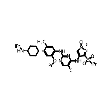 Cc1cc(Nc2ncc(Cl)c(Nc3cn(C)nc3S(=O)(=O)C(C)C)n2)c(OC(C)C)cc1[C@H]1CC[C@H](NC(C)C)CC1